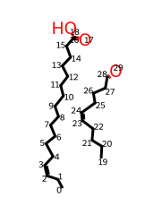 CC/C=C\CCCCCCCCCCCCC(=O)O.CCCC/C=C\CCCC=O